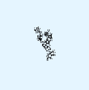 CCOC(=O)c1c(CCCOc2cccc3cc(F)ccc23)c2ccc(Cl)c3c2n1CCCS(=O)(=O)N(CCN1CCOCC1)Cc1nn(C)c(CC)c1-3